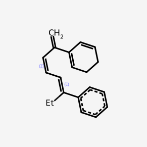 C=C(/C=C\C=C(/CC)c1ccccc1)C1=CCCC=C1